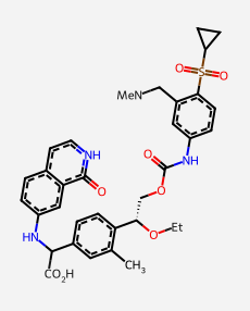 CCO[C@@H](COC(=O)Nc1ccc(S(=O)(=O)C2CC2)c(CNC)c1)c1ccc(C(Nc2ccc3cc[nH]c(=O)c3c2)C(=O)O)cc1C